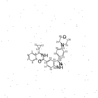 O=C(N[C@@H](c1ccccc1)C1CC1)c1ccc2[nH]nc(-c3ccc(N4CCOCC4)cc3)c2c1